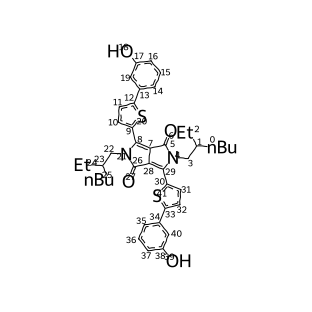 CCCCC(CC)CN1C(=O)C2=C(c3ccc(-c4cccc(O)c4)s3)N(CC(CC)CCCC)C(=O)C2=C1c1ccc(-c2cccc(O)c2)s1